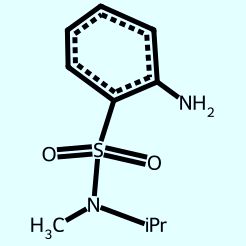 CC(C)N(C)S(=O)(=O)c1ccccc1N